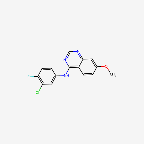 COc1[c]cc2c(Nc3ccc(F)c(Cl)c3)ncnc2c1